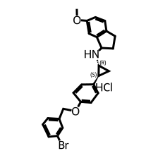 COc1ccc2c(c1)C(N[C@@H]1C[C@H]1c1ccc(OCc3cccc(Br)c3)cc1)CC2.Cl